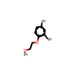 CC(C)OCCOc1ccc(C(C)C)cc1C(C)C